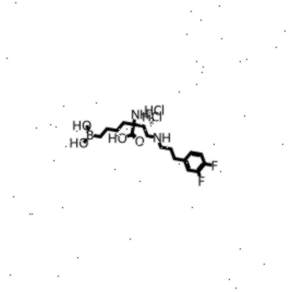 Cl.Cl.NC(CCCCB(O)O)(CCNCCCc1ccc(F)c(F)c1)C(=O)O